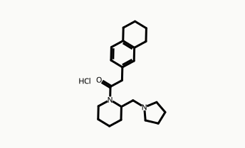 Cl.O=C(Cc1ccc2c(c1)CCCC2)N1CCCCC1CN1CCCC1